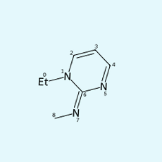 CCn1cccn/c1=N/C